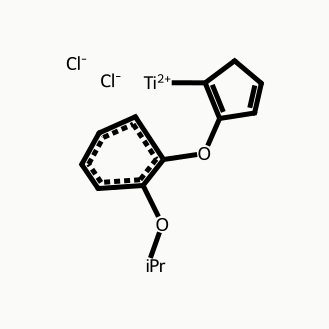 CC(C)Oc1ccccc1OC1=[C]([Ti+2])CC=C1.[Cl-].[Cl-]